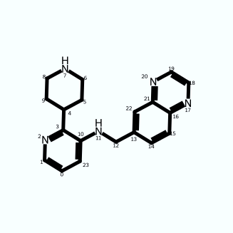 c1cnc(C2CCNCC2)c(NCc2ccc3nccnc3c2)c1